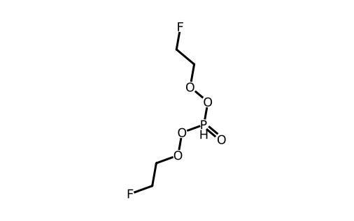 O=[PH](OOCCF)OOCCF